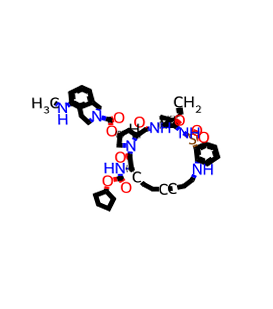 C=C[C@@H]1C[C@@]12NC(=O)[C@@H]1C[C@@H](OC(=O)N3CCc4c(cccc4NC)C3)CN1C(=O)[C@@H](NC(=O)OC1CCCC1)CCCCCCCNc1ccccc1S(=O)(=O)NC2=O